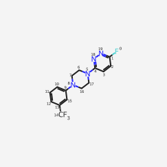 Fc1ccc(N2CCN(c3cccc(C(F)(F)F)c3)CC2)nn1